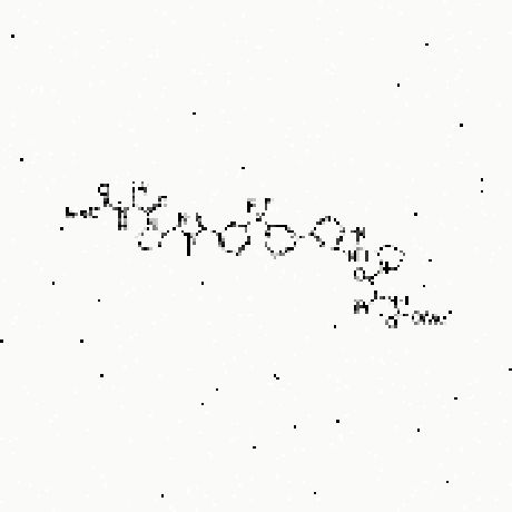 COC(=O)NC(C(=O)N1CCCC1c1ncc(-c2ccc3c(c2)C(F)(F)c2cc(-c4ccc5nc(C6CCCN6C(=O)C(NC(=O)OC)C(C)C)[nH]c5c4)ccc2-3)[nH]1)C(C)C